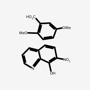 COc1ccc(OC)c(C(=O)O)c1.O=[N+]([O-])c1ccc2cccnc2c1O